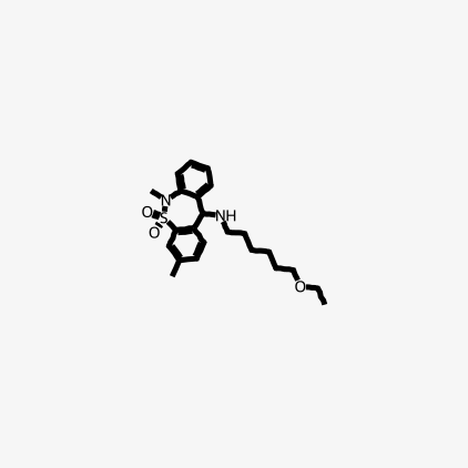 CCOCCCCCCNC1c2ccccc2N(C)S(=O)(=O)c2cc(C)ccc21